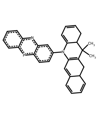 CC1(C)C2=C(C=C3C=CC=CC3C2)N(c2ccc3pc4ccccc4nc3c2)C2=CC=CCC21